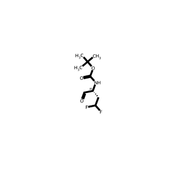 CC(C)(C)OC(=O)N[C@@H](C=O)CC(F)F